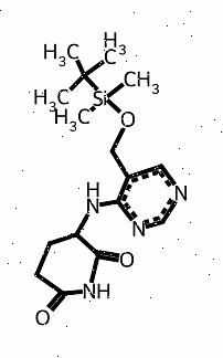 CC(C)(C)[Si](C)(C)OCc1cncnc1NC1CCC(=O)NC1=O